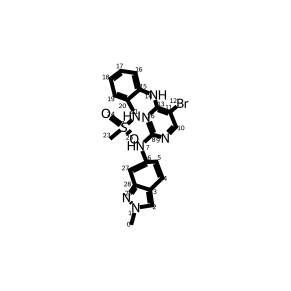 Cn1cc2ccc(Nc3ncc(Br)c(Nc4ccccc4NS(C)(=O)=O)n3)cc2n1